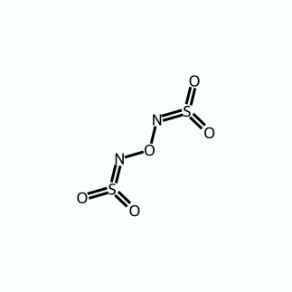 O=S(=O)=NON=S(=O)=O